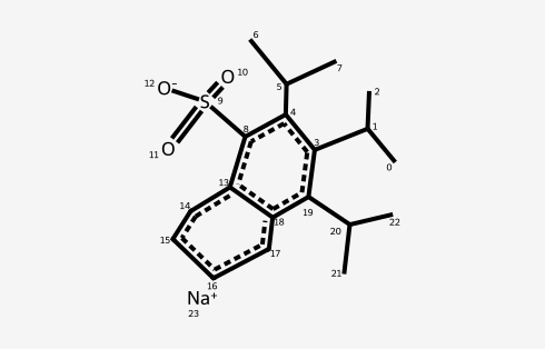 CC(C)c1c(C(C)C)c(S(=O)(=O)[O-])c2ccccc2c1C(C)C.[Na+]